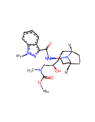 CC(C)n1nc(C(=O)N[C@@H]2C[C@H]3CC[C@@H](C2)N3C[C@@H](O)CN(C)C(=O)OC(C)(C)C)c2ccccc21